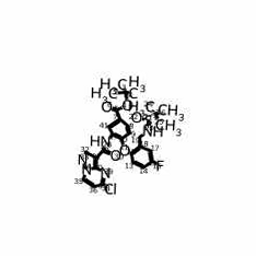 CC(C)(C)OC(=O)c1ccc(Oc2ccc(F)cc2CN[S+]([O-])C(C)(C)C)c(NC(=O)c2cnn3ccc(Cl)nc23)c1